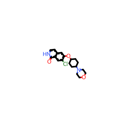 O=c1[nH]ccc2cc(OC3CCC(N4CCOCC4)CC3)c(Cl)cc12